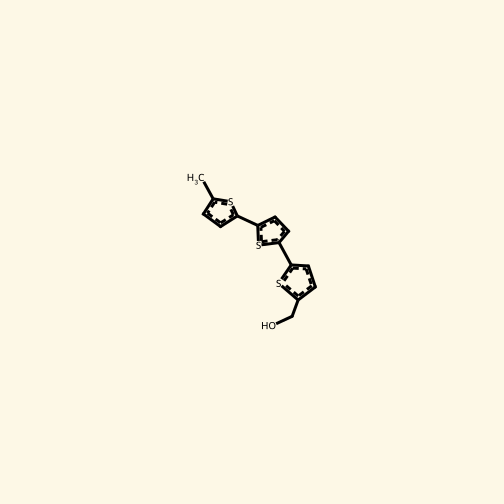 Cc1ccc(-c2ccc(-c3ccc(CO)s3)s2)s1